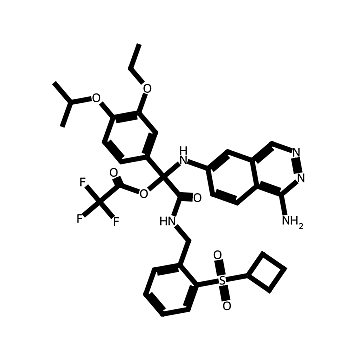 CCOc1cc(C(Nc2ccc3c(N)nncc3c2)(OC(=O)C(F)(F)F)C(=O)NCc2ccccc2S(=O)(=O)C2CCC2)ccc1OC(C)C